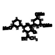 CCN(C)c1cc(-c2cccc(OC)c2)nn(-c2cc(OC)cc(OC)c2)c1=O